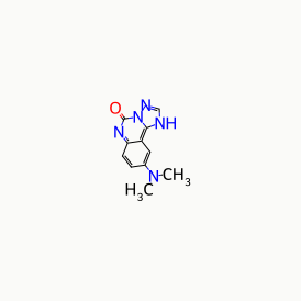 CN(C)c1ccc2nc(=O)n3nc[nH]c3c2c1